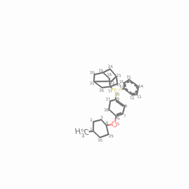 CC1CCC(OC2=CC=C([S+](c3ccccc3)C34CC5CC(CC(C5)C3)C4)CC2)CC1